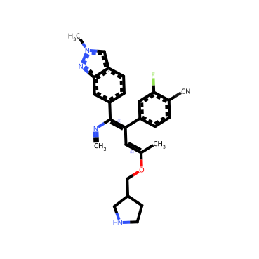 C=N/C(=C(\C=C(/C)OCC1CCNC1)c1ccc(C#N)c(F)c1)c1ccc2cn(C)nc2c1